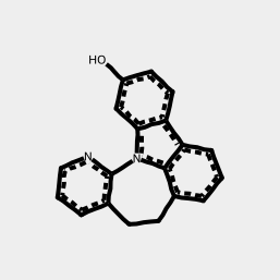 Oc1ccc2c3cccc4c3n(c2c1)-c1ncccc1CC4